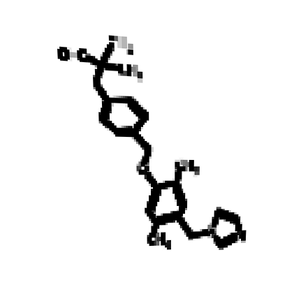 Cc1cc(OCc2ccc(CC(C)(C)C=O)cc2)c(C)cc1Cn1ccnc1